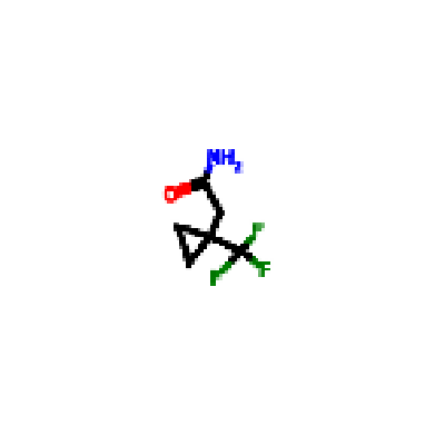 NC(=O)CC1(C(F)(F)F)CC1